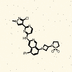 CC(C)c1ccc(N2CC(N3CCCS3(=O)=O)C2)c2cnc(Nc3ccnc(-c4cn(C)nc4Cl)n3)cc12